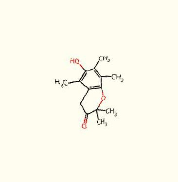 Cc1c(C)c2c(c(C)c1O)CC(=O)C(C)(C)O2